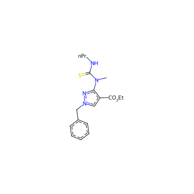 CCCNC(=S)N(C)c1nn(Cc2ccccc2)cc1C(=O)OCC